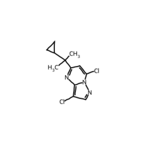 CC(C)(c1cc(Cl)n2ncc(Cl)c2n1)C1CC1